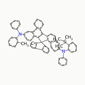 Cc1ccccc1N(c1ccccc1)c1ccc2c3c(c4ccccc4c2c1)-c1ccc2cc(N(c4ccccc4)c4ccccc4[Si](C)(C)C)ccc2c1C31c2ccccc2-c2ccccc21